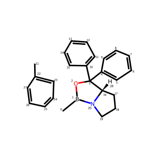 CB1OC(c2ccccc2)(c2ccccc2)[C@@H]2CCCN12.Cc1ccccc1